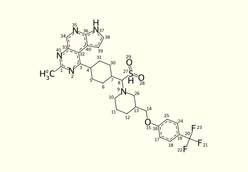 Cc1nc(C2CCC(C(N3CCCC(COc4ccc(C(F)(F)F)cc4)C3)[SH](=O)=O)CC2)c2c(cnc3[nH]ccc32)n1